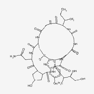 CCC(C)C1NC(=O)CNC(=O)C2Cc3c([nH]c4cc(O)ccc34)[S+]([O-])CC(NC(=O)CNC1=O)C(=O)NC(CC(N)=O)C(=O)C1CC(O)CC1C(=O)NC(C(C)C(O)CO)C(=O)N2